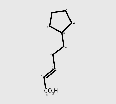 O=C(O)C=CCCC1CCCC1